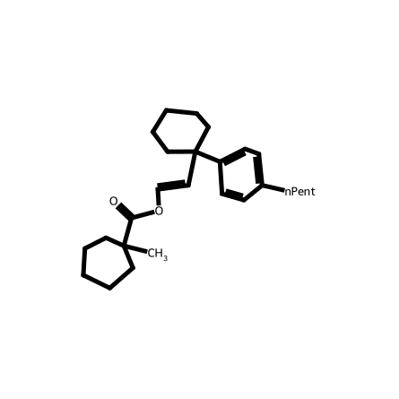 CCCCCc1ccc(C2(C=COC(=O)C3(C)CCCCC3)CCCCC2)cc1